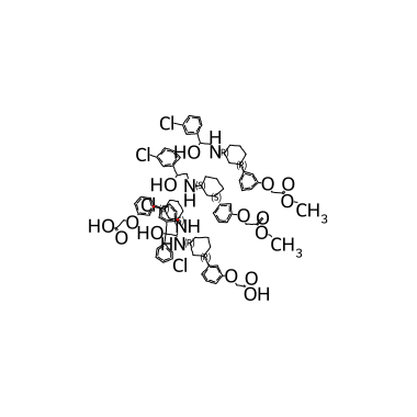 CCOC(=O)COc1cccc([C@@H]2CCC[C@@H](NCC(O)c3cccc(Cl)c3)C2)c1.CCOC(=O)COc1cccc([C@H]2CCC[C@H](NCC(O)c3cccc(Cl)c3)C2)c1.O=C(O)COc1cccc([C@@H]2CCC[C@@H](NC(N[C@H]3CCC[C@H](c4cccc(OCC(=O)O)c4)C3)C(O)(c3cccc(Cl)c3)c3cccc(Cl)c3)C2)c1